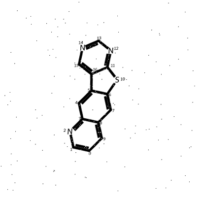 c1cnc2cc3c(cc2c1)sc1ncncc13